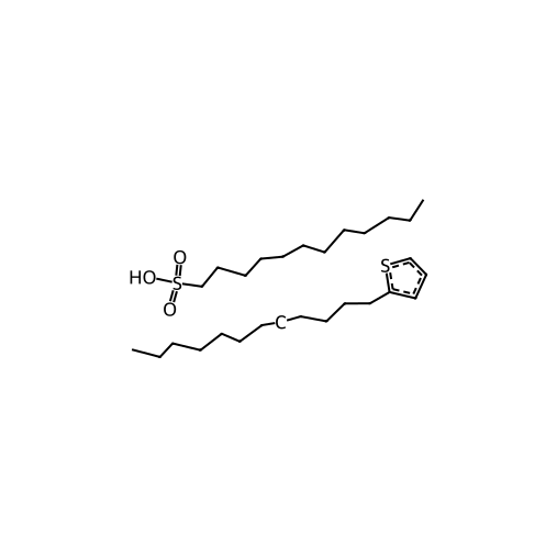 CCCCCCCCCCCCS(=O)(=O)O.CCCCCCCCCCCCc1cccs1